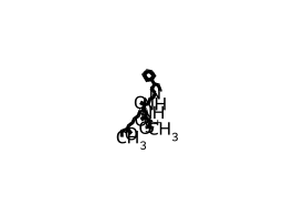 CCC(=O)CCCCC[C@H](NC(=O)C[S+](C)[O-])C(=O)NCCN1CCC(c2ccccc2)C1